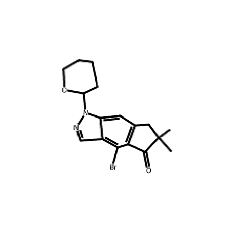 CC1(C)Cc2cc3c(cnn3C3CCCCO3)c(Br)c2C1=O